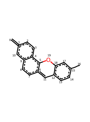 C=c1ccc2c3c(ccc2c1)=Cc1ccc(C)cc1O3